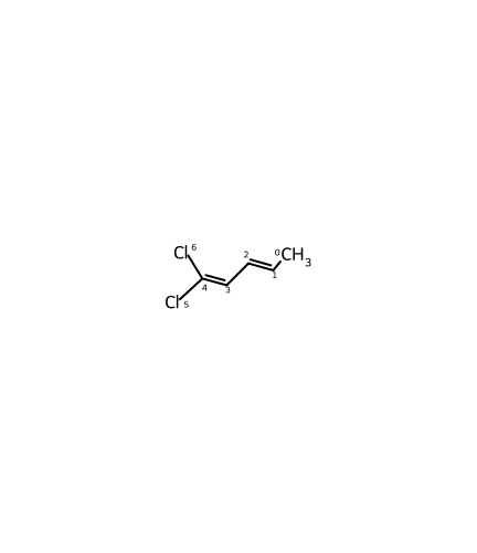 CC=CC=C(Cl)Cl